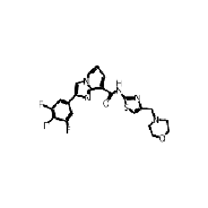 O=C(Nc1nc(CN2CCOCC2)cs1)c1cccn2cc(-c3cc(F)c(F)c(F)c3)nc12